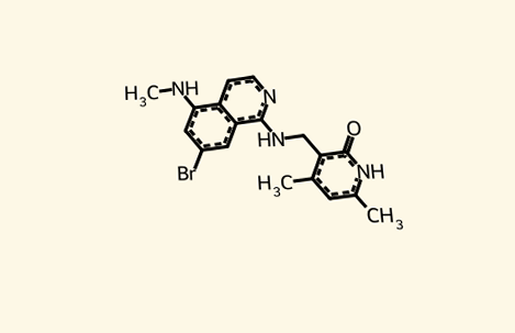 CNc1cc(Br)cc2c(NCc3c(C)cc(C)[nH]c3=O)nccc12